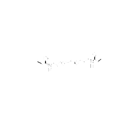 C=CC(=O)NCCCOCCCOCCCNC(=O)C=C